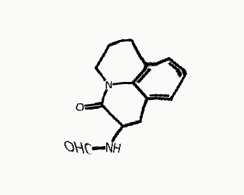 O=CNC1Cc2cccc3c2N(CCC3)C1=O